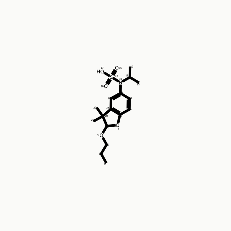 CCCOC1Oc2ccc(N(C(C)C)S(=O)(=O)O)cc2C1(C)C